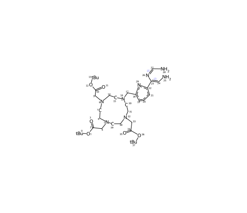 CC(C)(C)OC(=O)CN1CCN(CC(=O)OC(C)(C)C)CCN(Cc2cccc(C(=C/N)/N=C\N)n2)CCN(CC(=O)OC(C)(C)C)CC1